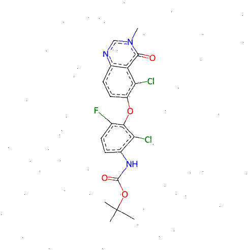 Cn1cnc2ccc(Oc3c(F)ccc(NC(=O)OC(C)(C)C)c3Cl)c(Cl)c2c1=O